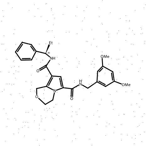 CC[C@@H](NC(=O)c1cc(C(=O)NCc2cc(OC)cc(OC)c2)n2c1COCC2)c1ccccc1